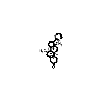 CC1C=C2CC(=O)CC[C@]2(C)[C@@H]2CC[C@]3(C)C(c4ncccn4)=CC[C@H]3[C@H]12